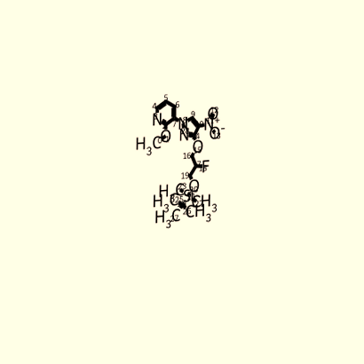 COc1ncccc1-n1cc([N+](=O)[O-])c(OCC(F)CO[Si](C)(C)C(C)(C)C)n1